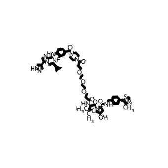 Cc1ncsc1-c1ccc(CNC(=O)[C@@H]2C[C@@H](O)CN2C(=O)[C@@H](NC(=O)CCOCCOCCOCCC(=O)N2CCN(C(=O)c3ccc(Nc4nc(C5CC5)cn5c(-c6cn[nH]c6)cnc45)c(F)c3)CC2)C(C)(C)C)cc1